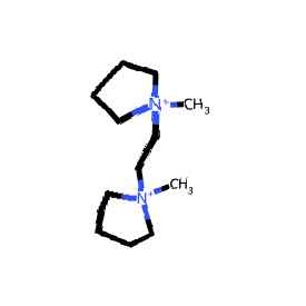 C[N+]1(CC[N+]2(C)CCCC2)CCCC1